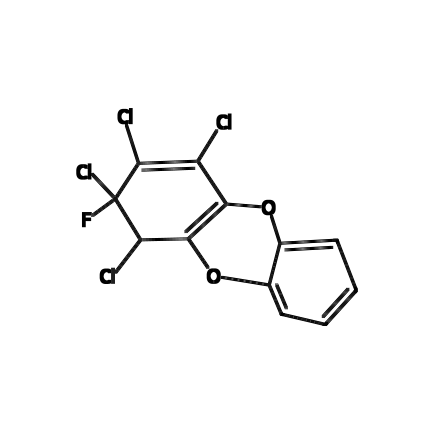 FC1(Cl)C(Cl)=C(Cl)C2=C(Oc3ccccc3O2)C1Cl